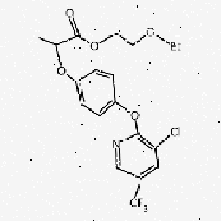 CCOCCOC(=O)C(C)Oc1ccc(Oc2ncc(C(F)(F)F)cc2Cl)cc1